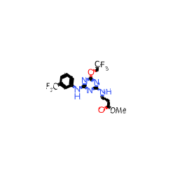 COC(=O)CCNc1nc(Nc2cccc(C(F)(F)F)c2)nc(OCC(F)(F)F)n1